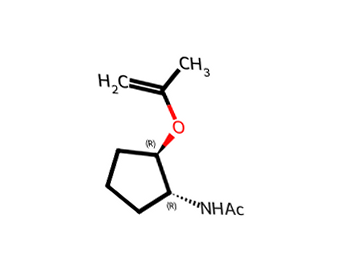 C=C(C)O[C@@H]1CCC[C@H]1NC(C)=O